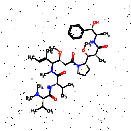 C/C=C(\C)[C@@H]([C@@H](CC(=O)N1CCC[C@H]1[C@H](OC)[C@@H](C)C(=O)N[C@H](C)[C@@H](O)c1ccccc1)OC)N(C)C(=O)[C@@H](NC(=O)[C@H](C(C)C)N(C)C)C(C)C